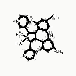 Cc1cc(C)c(C2=C(c3cccnc3)[Si](C)(C)C(c3cccnc3)=C2c2c(C)cc(C)cc2C)c(C)c1